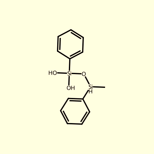 C[SiH](O[Si](O)(O)c1ccccc1)c1ccccc1